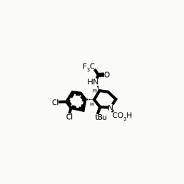 CC(C)(C)C1[C@H](c2ccc(Cl)c(Cl)c2)[C@H](NC(=O)C(F)(F)F)CCN1C(=O)O